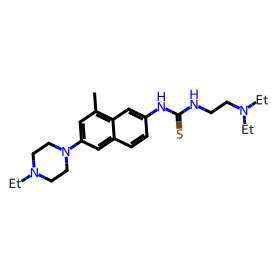 CCN(CC)CCNC(=S)Nc1ccc2cc(N3CCN(CC)CC3)cc(C)c2c1